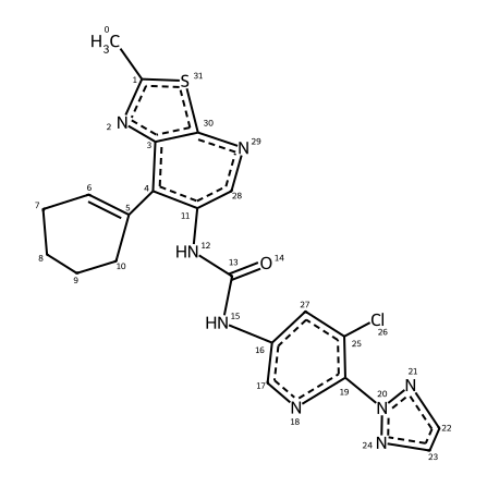 Cc1nc2c(C3=CCCCC3)c(NC(=O)Nc3cnc(-n4nccn4)c(Cl)c3)cnc2s1